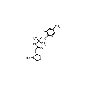 Cc1cnc(OCC(C)(C)NC(=O)C[C@@H]2CCCN2C)c(Cl)c1